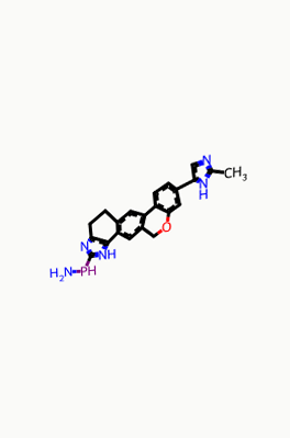 Cc1ncc(-c2ccc3c(c2)OCc2cc4c(cc2-3)CCc2nc(PN)[nH]c2-4)[nH]1